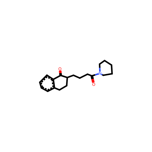 O=C1c2ccccc2CCC1CCCC(=O)N1CCCCC1